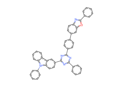 c1ccc(-c2nc(-c3ccc(-c4ccc5nc(-c6ccccc6)oc5c4)cc3)nc(-c3ccc4c(c3)c3ccccc3n4-c3ccccc3)n2)cc1